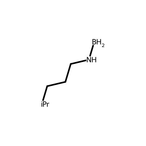 BNCCCC(C)C